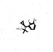 CC(C)(C(=O)O)[C@H](c1cccc(O)c1F)C1CC1